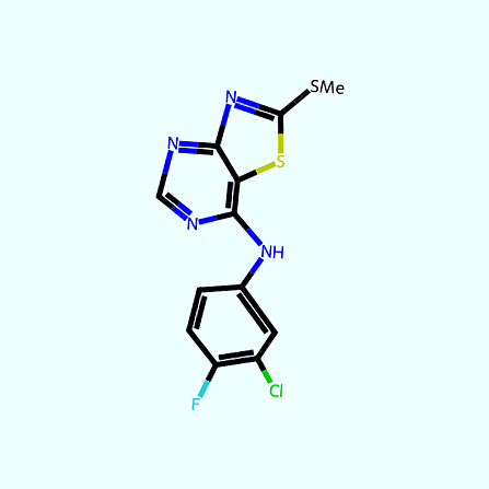 CSc1nc2ncnc(Nc3ccc(F)c(Cl)c3)c2s1